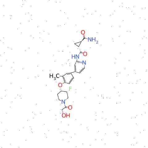 Cc1cc(-c2ccnc(NC(=O)[C@@H]3C[C@H]3C(N)=O)c2)ccc1O[C@H]1CCN(C(=O)CO)C[C@H]1F